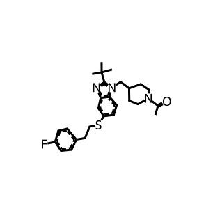 CC(=O)N1CCC(Cn2c(C(C)(C)C)nc3cc(SCCc4ccc(F)cc4)ccc32)CC1